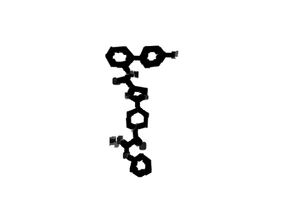 CC(Oc1ccccc1)C(=O)N1CCC(c2nc(C(=O)Nc3ccccc3-c3ccc(F)cc3)cs2)CC1